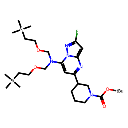 CC(C)(C)OC(=O)N1CCCC(c2cc(N(COCC[Si](C)(C)C)COCC[Si](C)(C)C)n3nc(F)cc3n2)C1